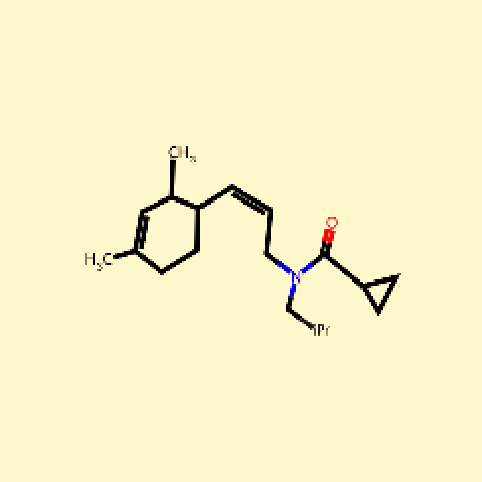 CC1=CC(C)C(/C=C\CN(CC(C)C)C(=O)C2CC2)CC1